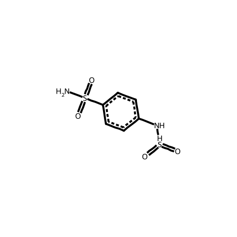 NS(=O)(=O)c1ccc(N[SH](=O)=O)cc1